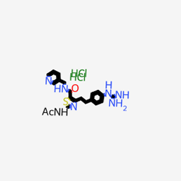 CC(=O)Nc1nc(CCc2ccc(NC(=N)N)cc2)c(C(=O)NCc2cccnc2)s1.Cl.Cl